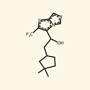 CC1(C)CCC(CC(O)c2c(C(F)(F)F)sc3cncn23)C1